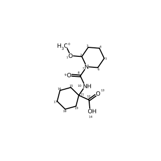 COC1CCCCN1C(=O)NC1(C(=O)O)CCCCC1